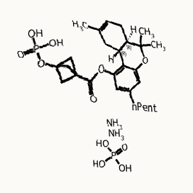 CCCCCc1cc(OC(=O)C23CC(OP(=O)(O)O)(C2)C3)c2c(c1)OC(C)(C)[C@@H]1CC=C(C)C[C@@H]21.N.N.O=P(O)(O)O